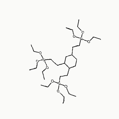 CCO[Si](CCC1CCC(CC[Si](OCC)(OCC)OCC)C(CC[Si](OCC)(OCC)OCC)C1)(OCC)OCC